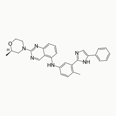 Cc1ccc(Nc2cccc3nc(N4CCO[C@H](C)C4)ncc23)cc1-c1ncc(-c2ccccc2)[nH]1